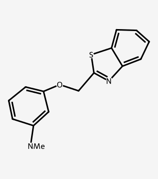 CNc1cccc(OCc2nc3ccccc3s2)c1